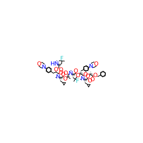 CN[C@@H](CC(C)(C)F)C(=O)OC(Cc1ccc(N2CCOCC2)cc1)C(=O)N(C)[C@@H](CC1CC1)C(=O)O[C@H](C)C(=O)N(C)[C@@H](CC(C)(C)F)C(=O)O[C@H](Cc1ccc(N2CCOCC2)cc1)C(=O)N(C)[C@@H](CC1CC1)C(=O)O[C@H](C)C(=O)OCc1ccccc1